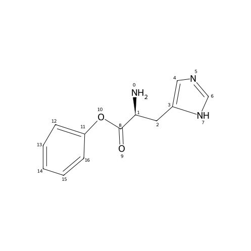 N[C@@H](Cc1cnc[nH]1)C(=O)Oc1ccccc1